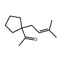 CC(=O)C1(CC=C(C)C)CCCC1